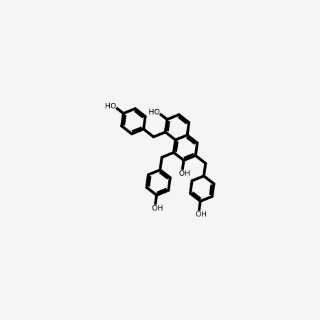 OC1=CCC(Cc2cc3ccc(O)c(Cc4ccc(O)cc4)c3c(Cc3ccc(O)cc3)c2O)C=C1